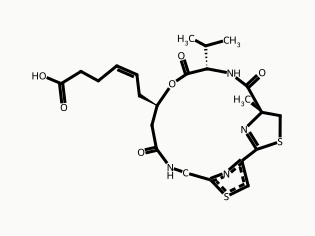 CC(C)[C@@H]1NC(=O)[C@]2(C)CSC(=N2)c2csc(n2)CNC(=O)C[C@@H](C/C=C\CCC(=O)O)OC1=O